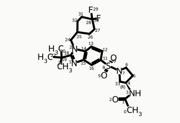 CC(=O)N[C@@H]1CCN(S(=O)(=O)c2ccc3c(c2)nc(C(C)(C)C)n3CC2CCC(F)(F)CC2)C1